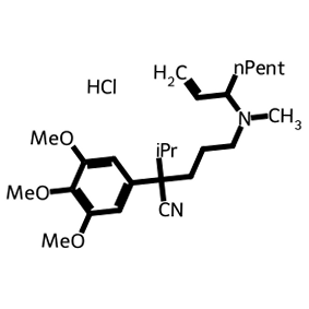 C=CC(CCCCC)N(C)CCCC(C#N)(c1cc(OC)c(OC)c(OC)c1)C(C)C.Cl